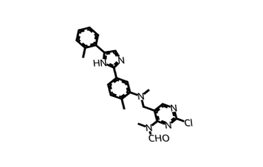 Cc1ccccc1-c1cnc(-c2ccc(C)c(N(C)Cc3cnc(Cl)nc3N(C)C=O)c2)[nH]1